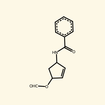 O=COC1C=CC(NC(=O)c2ccccc2)C1